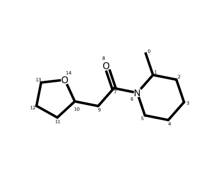 CC1CCCCN1C(=O)CC1CCCO1